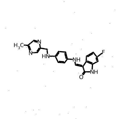 Cc1cnc(CNc2ccc(N/C=C3/C(=O)Nc4cc(F)ccc43)cc2)cn1